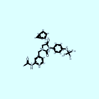 CC(=O)Nc1cc(CN2CC(=O)N(c3ccc(OC(F)(F)F)cc3)C2=O)ccn1.c1cc2cc-2c1